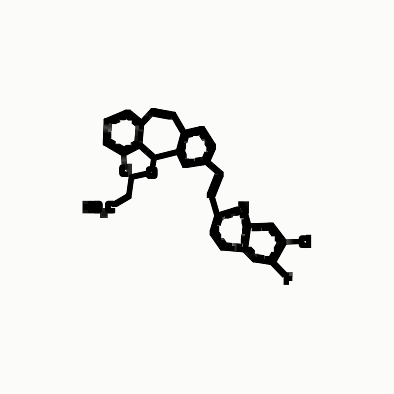 O=C(O)CCOC1c2cc(C=Cc3ccc4cc(F)c(Cl)cc4n3)ccc2C=Cc2cccc(Cl)c21